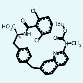 CN(C(=O)OC(C)(C)C)c1ccc2ccc(Cc3ccc(C[C@H](NC(=O)c4c(Cl)cccc4Cl)C(=O)O)cc3)cc2n1